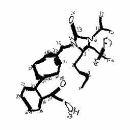 CCCc1c(C(F)(F)F)n(C(C)C)c(=O)n1Cc1ccc(-c2ccccc2C(=O)O)cc1